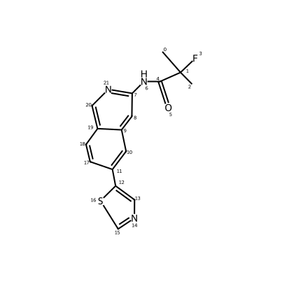 CC(C)(F)C(=O)Nc1cc2cc(-c3cncs3)ccc2cn1